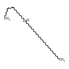 CCCCC/C=C\C/C=C\CCCCCCCCOC(=O)CCCCCCCCCCCCCCCCCCCCCCCCCCCC